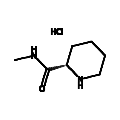 CNC(=O)[C@@H]1CCCCN1.Cl